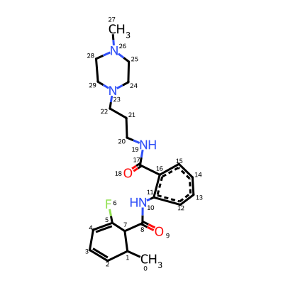 CC1C=CC=C(F)C1C(=O)Nc1ccccc1C(=O)NCCCN1CCN(C)CC1